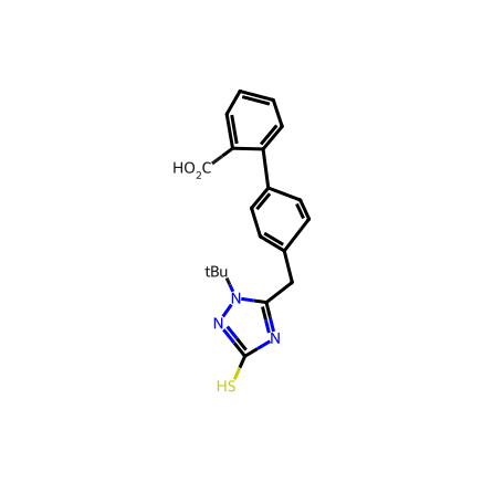 CC(C)(C)n1nc(S)nc1Cc1ccc(-c2ccccc2C(=O)O)cc1